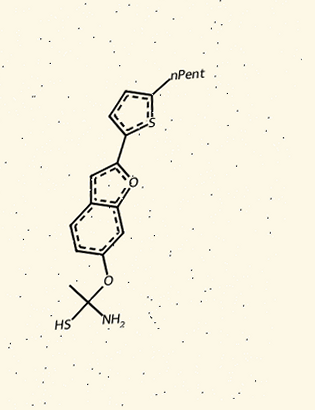 CCCCCc1ccc(-c2cc3ccc(OC(C)(N)S)cc3o2)s1